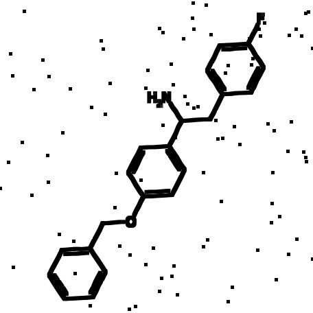 NC(Cc1ccc(F)cc1)c1ccc(OCc2ccccc2)cc1